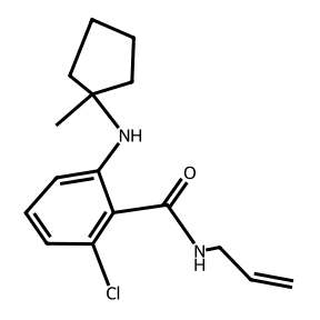 C=CCNC(=O)c1c(Cl)cccc1NC1(C)CCCC1